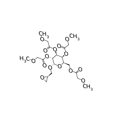 COCC(=O)OC[C@H]1O[C@H](OC[C@H]2CO2)[C@H](OC(=O)COC)[C@@H](OC(=O)COC)[C@H]1OC(=O)COC